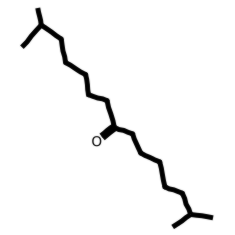 CC(C)CCCCCC(=O)CCCCCC(C)C